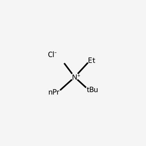 CCC[N+](C)(CC)C(C)(C)C.[Cl-]